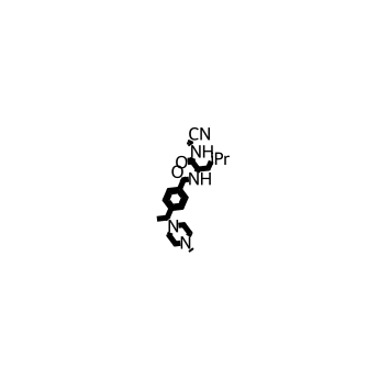 CC(C)CC(NC(=O)c1ccc(C(C)N2CCN(C)CC2)cc1)C(=O)NCC#N